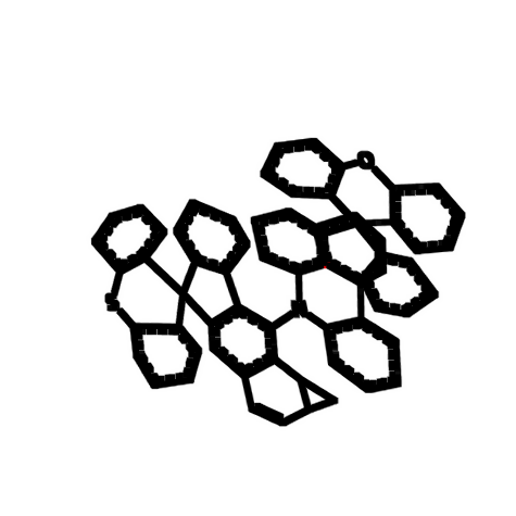 C1=CC2CC2c2c1cc1c(c2N(c2ccccc2-c2ccccc2)c2cccc3c2-c2ccccc2C32c3ccccc3Oc3ccccc32)-c2ccccc2C12c1ccccc1Sc1ccccc12